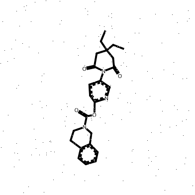 CCC1(CC)CC(=O)N(c2ccc(OC(=O)N3CCc4ccccc4C3)nc2)C(=O)C1